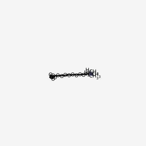 CN/C(SNCCOCCOCCOCCOCCOCCOCCOCCOCCC(=O)ON1C(=O)CCC1=O)=C(/C)SC